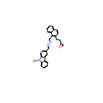 CCn1c2ccccc2c2cc(/C=N/N=C/c3c(CCC4CO4)ccc4ccccc34)ccc21